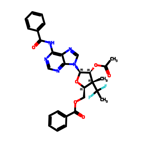 CC(=O)O[C@H]1[C@H](n2cnc3c(NC(=O)c4ccccc4)ncnc32)O[C@H](COC(=O)c2ccccc2)[C@@]1(C)C(C)(F)F